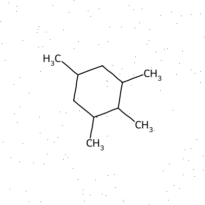 C[C]1CC(C)CC(C)C1C